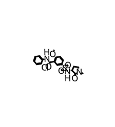 COc1ccc(S(=O)(=O)N[C@@H]2CCN(C)C2=O)cc1C(=O)Nc1ccccc1Cl